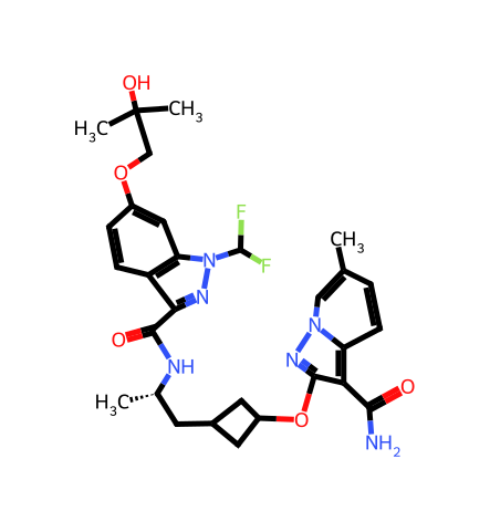 Cc1ccc2c(C(N)=O)c(OC3CC(C[C@H](C)NC(=O)c4nn(C(F)F)c5cc(OCC(C)(C)O)ccc45)C3)nn2c1